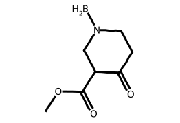 BN1CCC(=O)C(C(=O)OC)C1